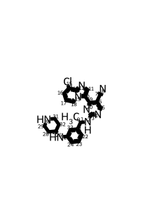 C[C@H](Nc1ncc(C#N)c(-c2cnc3c(Cl)cccn23)n1)c1cccc(NC2CCNCC2)c1